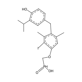 Cc1cc(OC[PH](=O)O)c(I)c(C)c1Cc1ccc(O)c(C(C)C)c1